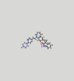 CN1CCN(c2ccc(/C=C/C3=NCC=Cc4cc(C5C[C@@]56C(=O)Nc5ccccc56)ccc43)cn2)CC1